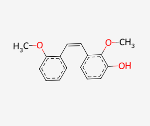 COc1ccccc1/C=C\c1cccc(O)c1OC